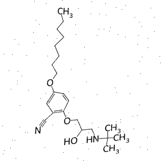 CCCCCCCCOc1ccc(OCC(O)CNC(C)(C)C)c(C#N)c1